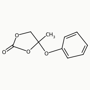 CC1(Oc2ccccc2)COC(=O)O1